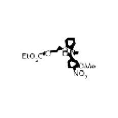 CCOC(=O)COCCCOc1ccccc1N(C)C(=O)c1ccc([N+](=O)[O-])c(OC)c1